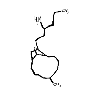 CCCC(N)CCC1CC2CCCC(C)CCCC1C2C